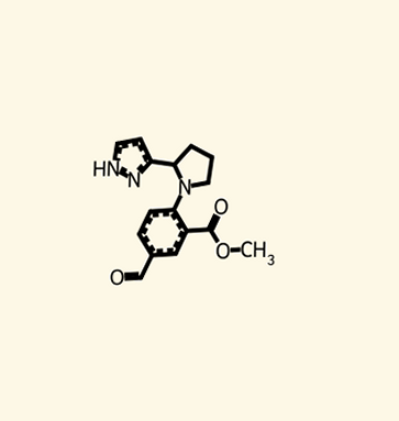 COC(=O)c1cc(C=O)ccc1N1CCCC1c1cc[nH]n1